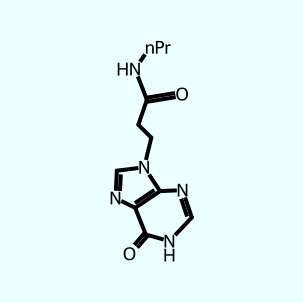 CCCNC(=O)CCn1cnc2c(=O)[nH]cnc21